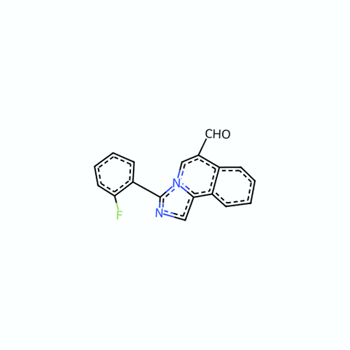 O=Cc1cn2c(-c3ccccc3F)ncc2c2ccccc12